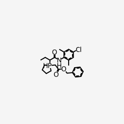 CCC(C(=O)Nc1c(C)cc(Cl)cc1C)[PH]1(CC(=O)OCc2ccccc2)CCCC1